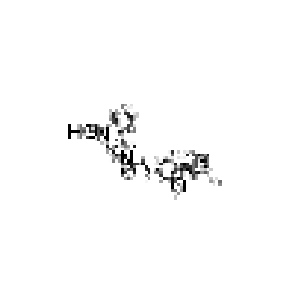 COc1cc(/C=C/C(=O)N2CC(C=NO)C(c3ccccc3)C2)ccc1-n1cnc(C)c1